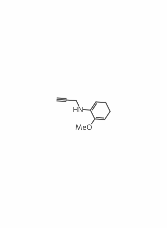 C#CCNC1=CCCC=C1OC